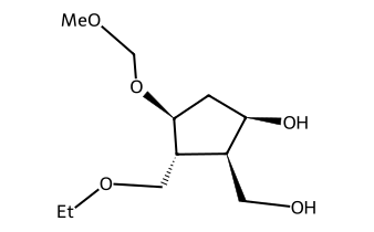 CCOC[C@H]1[C@H](CO)[C@H](O)C[C@@H]1OCOC